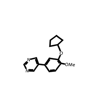 COc1ccc(-c2cncnc2)cc1OC1CCCC1